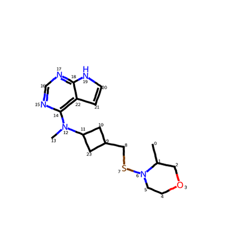 CC1COCCN1SCC1CC(N(C)c2ncnc3[nH]ccc23)C1